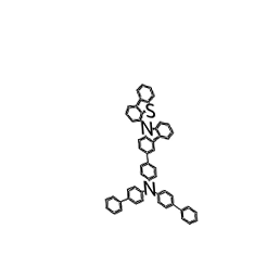 c1ccc(-c2ccc(N(c3ccc(-c4ccccc4)cc3)c3ccc(-c4ccc5c(c4)c4ccccc4n5-c4cccc5c4sc4ccccc45)cc3)cc2)cc1